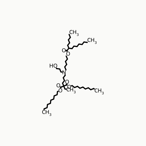 CCCCCCCCCCOC(=O)C(CC)(CCCCN(CCCO)CCCCCCOC(=O)C(CCCCCC)CCCCCCCC)C(=O)OCCCCCCCCCC